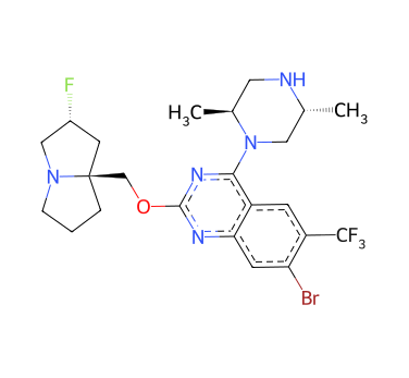 C[C@@H]1CN(c2nc(OC[C@@]34CCCN3C[C@H](F)C4)nc3cc(Br)c(C(F)(F)F)cc23)[C@@H](C)CN1